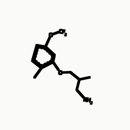 Cc1ccc(OC(F)(F)F)cc1OCC(C)CN